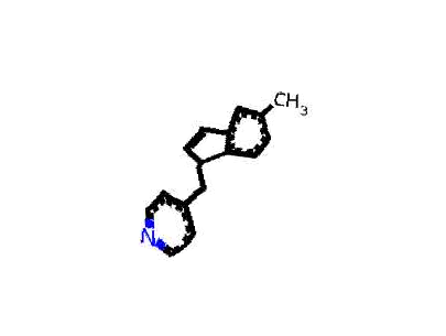 Cc1ccc2c(c1)C=CC2Cc1ccncc1